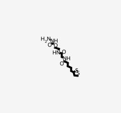 NNC(=O)OCCNC(=O)CNC(=O)CCCCC1CCSS1